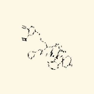 CS(=O)(=O)[N+]1(NC(=O)C(CSCc2ccc(Cl)c(Cl)c2)NCc2ccccc2)CC2(CCNCC2)c2ccccc21